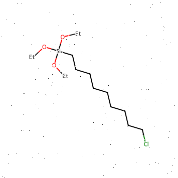 CCO[Si](CCCCCCCCCCl)(OCC)OCC